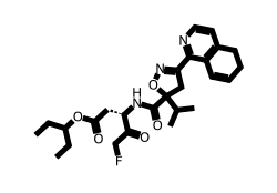 CCC(CC)OC(=O)C[C@H](NC(=O)C1(C(C)C)CC(c2nccc3c2C=CCC3)=NO1)C(=O)CF